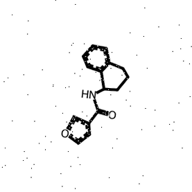 O=C(NC1CCCc2ccccc21)c1ccoc1